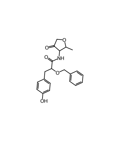 CC1OCC(=O)C1NC(=O)C(Cc1ccc(O)cc1)OCc1ccccc1